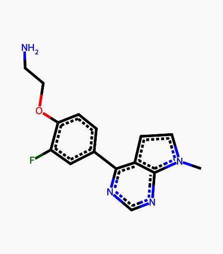 Cn1ccc2c(-c3ccc(OCCN)c(F)c3)ncnc21